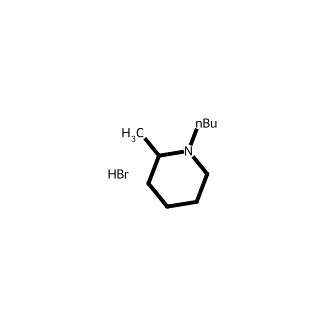 Br.CCCCN1CCCCC1C